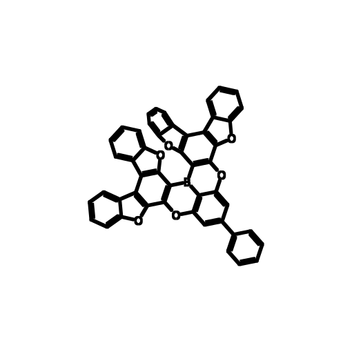 c1ccc(-c2cc3c4c(c2)Oc2c(c5oc6ccccc6c5c5c2oc2ccccc25)B4c2c(c4oc5ccccc5c4c4c2oc2ccccc24)O3)cc1